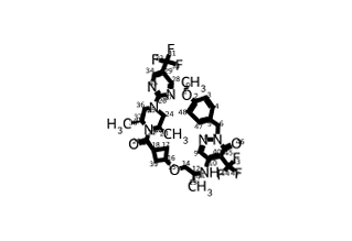 COc1ccc(Cn2ncc(N[C@@H](C)COC3CC(C(=O)N4[C@H](C)CN(c5ncc(C(F)(F)F)cn5)C[C@@H]4C)C3)c(C(F)(F)F)c2=O)cc1